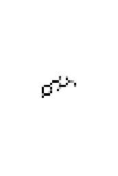 C/C=C(C)\C=C(\C)C(C)Cc1ccc(C)cc1